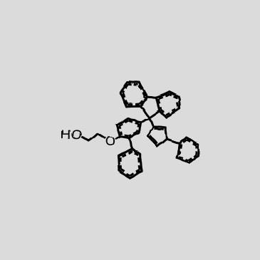 OCCOc1ccc(C2(C3=CC(c4ccccc4)C=C3)c3ccccc3-c3ccccc32)cc1-c1ccccc1